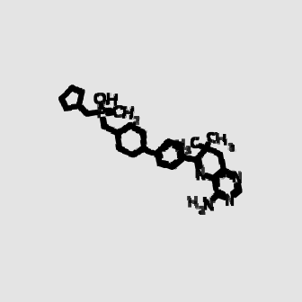 C=P(O)(CC1CCCC1)CC1CCC(c2ccc(C3=Nc4c(N)ncnc4CC3(C)C)cc2)CC1